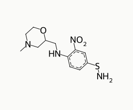 CN1CCOC(CNc2ccc(SN)cc2[N+](=O)[O-])C1